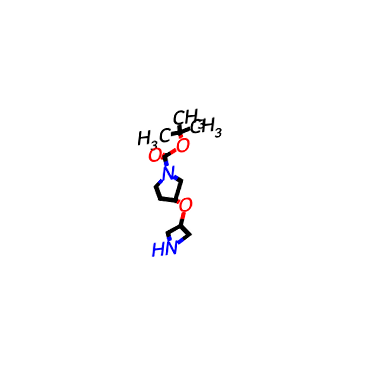 CC(C)(C)OC(=O)N1CCC(OC2CNC2)C1